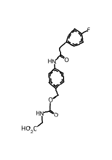 O=C(O)CNC(=O)OCc1ccc(NC(=O)Cc2ccc(F)cc2)cc1